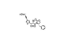 CCCCCCCCCCC#Cc1csc([C@@H](O)[C@H](Br)C(=O)N2C(=O)OC[C@@H]2Cc2ccccc2)c1